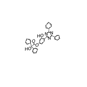 O=C(Oc1ccc(-c2nc(-c3ccccc3)nc(-c3ccccc3)n2)c(O)c1)C(O)(c1ccccc1)c1ccccc1